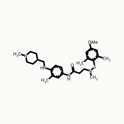 COc1cc(C)c(SN(C)CCC(=O)Nc2ccc(NCC3CCN(C)CC3)c(C)c2)c(C)c1